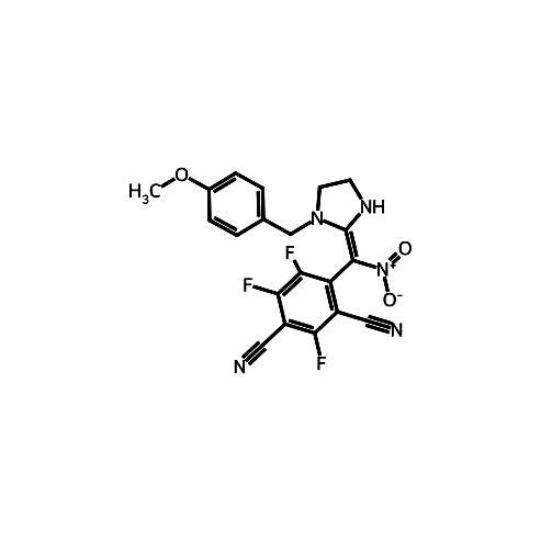 COc1ccc(CN2CCN/C2=C(/c2c(F)c(F)c(C#N)c(F)c2C#N)[N+](=O)[O-])cc1